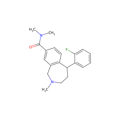 CN1CCC(c2ccccc2F)c2ccc(C(=O)N(C)C)cc2C1